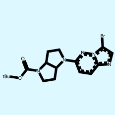 CC(C)(C)OC(=O)N1CCC2C1CCN2c1ccc2ncc(Br)n2n1